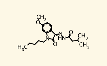 CCCCCN1C(=O)C(=NNC(=O)CC(C)C)c2ccc(OC)cc21